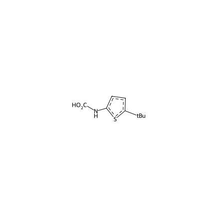 CC(C)(C)c1ccc(NC(=O)O)s1